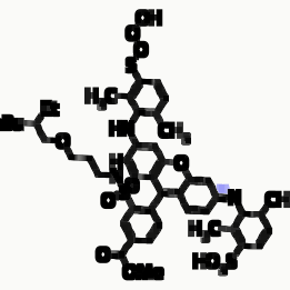 CCCCC(CC)COCCCNS(=O)(=O)c1cc(C(=O)OC)ccc1-c1c2cc/c(=N\C3C(C)=C(S(=O)(=O)O)C=CC3C)cc-2oc2cc(Nc3c(C)ccc(SOOO)c3C)ccc12